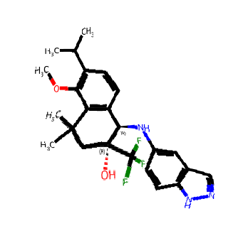 COc1c(C(C)C)ccc2c1C(C)(C)C[C@](O)(C(F)(F)F)[C@@H]2Nc1ccc2[nH]ncc2c1